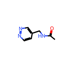 CC(=O)NCc1ccnnc1